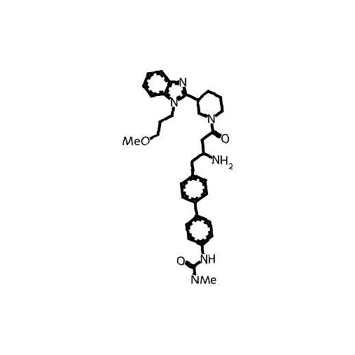 CNC(=O)Nc1ccc(-c2ccc(CC(N)CC(=O)N3CCCC(c4nc5ccccc5n4CCCOC)C3)cc2)cc1